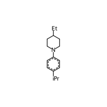 CCC1CCN(c2ccc(C(C)C)cc2)CC1